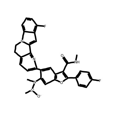 CNC(=O)c1c(-c2ccc(F)cc2)oc2cc(N(C)[S+](C)[O-])c(-c3ccc4c(n3)-c3cc5c(F)cccc5n3CC4)cc12